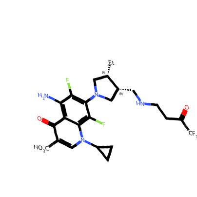 CC[C@H]1CN(c2c(F)c(N)c3c(=O)c(C(=O)O)cn(C4CC4)c3c2F)C[C@H]1CNCCC(=O)C(F)(F)F